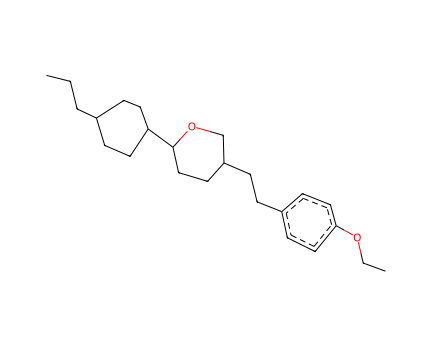 CCCC1CCC(C2CCC(CCc3ccc(OCC)cc3)CO2)CC1